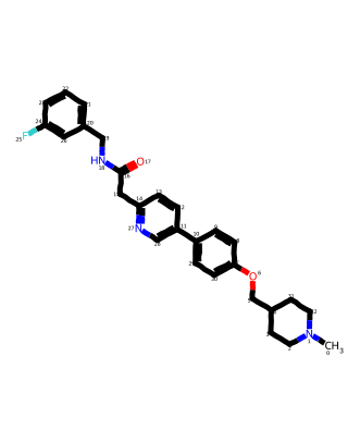 CN1CCC(COc2ccc(-c3ccc(CC(=O)NCc4cccc(F)c4)nc3)cc2)CC1